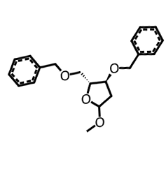 COC1C[C@H](OCc2ccccc2)[C@@H](COCc2ccccc2)O1